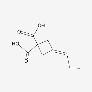 CCC=C1CC(C(=O)O)(C(=O)O)C1